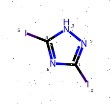 Ic1n[nH]c(I)n1